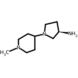 CN1CCC(N2CC[C@@H](N)C2)CC1